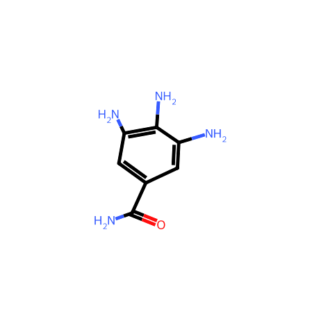 NC(=O)c1cc(N)c(N)c(N)c1